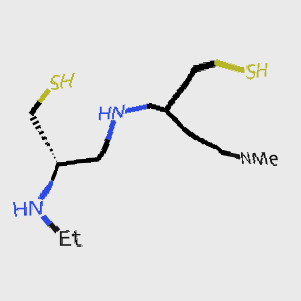 CCN[C@H](CS)CNC(CS)CNC